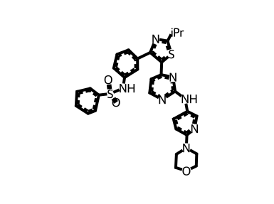 CC(C)c1nc(-c2cccc(NS(=O)(=O)c3ccccc3)c2)c(-c2ccnc(Nc3ccc(N4CCOCC4)nc3)n2)s1